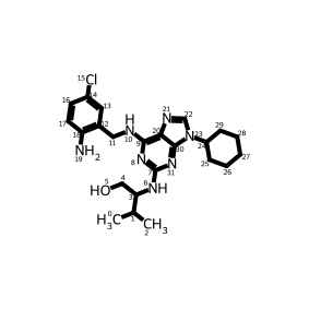 CC(C)C(CO)Nc1nc(NCc2cc(Cl)ccc2N)c2ncn(C3CCCCC3)c2n1